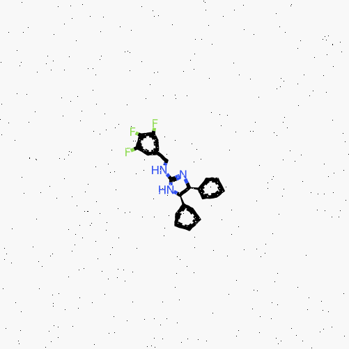 Fc1cc(CNC2=N[C@@H](c3ccccc3)[C@@H](c3ccccc3)N2)cc(F)c1F